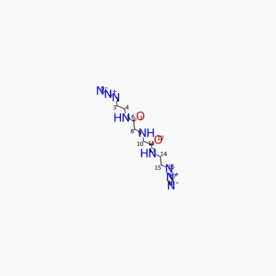 [N-]=[N+]=NCCNC(=O)CNCC(=O)NCCN=[N+]=[N-]